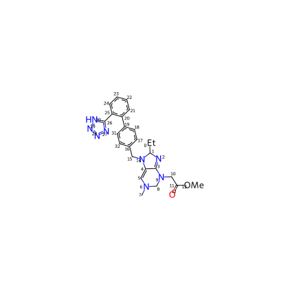 CCC1N=C2C(=CN(C)CN2CC(=O)OC)N1Cc1ccc(-c2ccccc2-c2nnn[nH]2)cc1